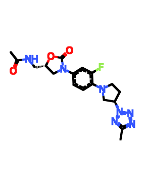 CC(=O)NC[C@H]1CN(c2ccc(N3CC[C@@H](n4nnc(C)n4)C3)c(F)c2)C(=O)O1